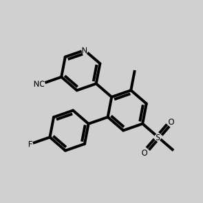 Cc1cc(S(C)(=O)=O)cc(-c2ccc(F)cc2)c1-c1cncc(C#N)c1